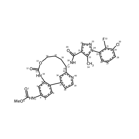 COC(=O)Nc1ccc2c(c1)NC(=O)OCCC[C@H](NC(=O)c1cnn(-c3cccc(Cl)c3F)c1C)c1cc-2ccn1